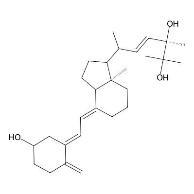 C=C1CCC(O)CC1=CC=C1CCC[C@@]2(C)C1CCC2C(C)C=C[C@@](C)(O)C(C)(C)O